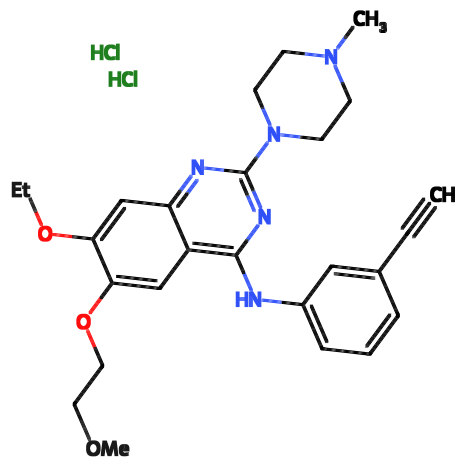 C#Cc1cccc(Nc2nc(N3CCN(C)CC3)nc3cc(OCC)c(OCCOC)cc23)c1.Cl.Cl